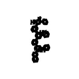 C=N/C(=C\C(=N)c1cccc(-c2cc(-c3cccc(C4=NC(c5ccc6ccccc6c5)NC(c5ccccc5)=C4)c3)cc(C3C=CC=CN3)c2)c1)c1ccccc1